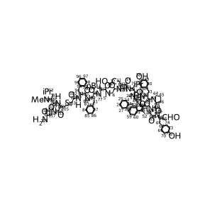 CCCC[C@@H](C(=O)N(C)CC(=O)N[C@@H](CC(=O)O)C(=O)N[C@H](C(=O)N(C)[C@@H](Cc1ccccc1)C(=O)N[C@@H](Cc1ccc(O)cc1)C(=O)N1CCC[C@H]1C(=O)N[C@@H](Cc1c[nH]c2ccccc12)C(=O)N[C@H](C=O)Cc1ccc(O)cc1)C(C)C)N(C)C(=O)[C@H](Cc1ccccc1)N(C)C(=O)[C@H](Cc1ccccc1)NC(=O)CSC[C@H](NC(=O)[C@H](CC(C)C)NC)C(=O)NCC(N)=O